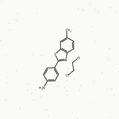 Cc1ccc2nc(-c3ccc(N)cc3)sc2c1.ClCCCl